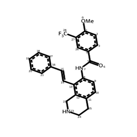 COc1ccc(C(=O)Nc2ccc3c(c2/C=C/c2ccccc2)CNCC3)cc1C(F)(F)F